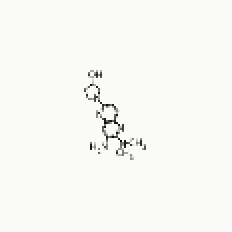 CN(C)c1nc2ccc(N3CCC(O)C3)nc2cc1N